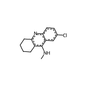 CNc1c2c(nc3ccc(Cl)cc13)CCCC2